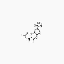 NS(=O)(=O)c1cnc(OC2CCN(CC(F)F)C2)c(Cl)c1